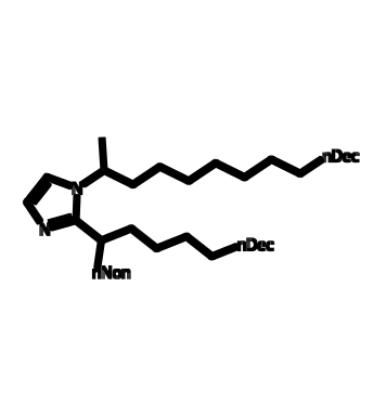 CCCCCCCCCCCCCCCCCC(C)n1ccnc1C(CCCCCCCCC)CCCCCCCCCCCCCC